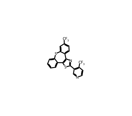 FC(F)(F)c1ccc2c(c1)Sc1ccccc1-c1sc(-c3cnccc3C(F)(F)F)nc1-2